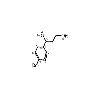 OCCC(O)c1ccc(Br)cc1